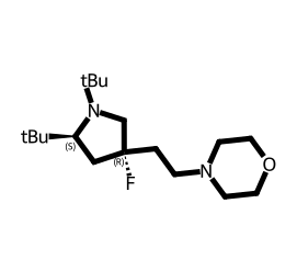 CC(C)(C)[C@@H]1C[C@](F)(CCN2CCOCC2)CN1C(C)(C)C